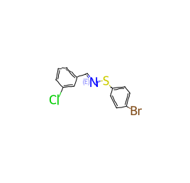 Clc1cccc(/C=N/Sc2ccc(Br)cc2)c1